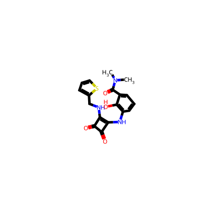 CN(C)C(=O)c1cccc(Nc2c(NCc3cccs3)c(=O)c2=O)c1O